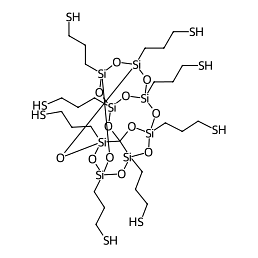 SCCC[Si]12OC34O[Si]5(CCCS)O[Si](CCCS)(O1)O[Si]1(CCCS)O[Si](CCCS)(O2)O[Si](CCCS)(O[Si]3(CCCS)O5)O[Si]4(CCCS)O1